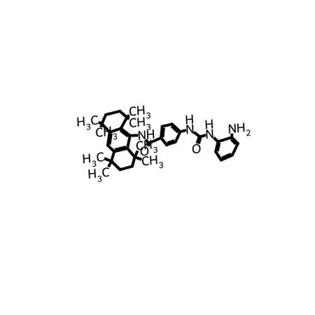 CC1(C)CCC(C)(C)c2c1cc1c(c2NC(=O)c2ccc(NC(=O)Nc3ccccc3N)cc2)C(C)(C)CCC1(C)C